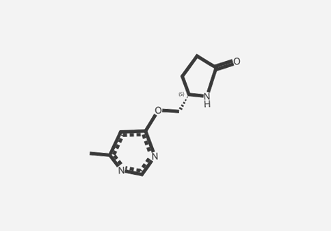 Cc1cc(OC[C@@H]2CCC(=O)N2)ncn1